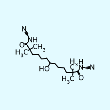 CC(C)(CCCCC(O)CCCCC(C)(C)C(=O)NC#N)C(=O)NC#N